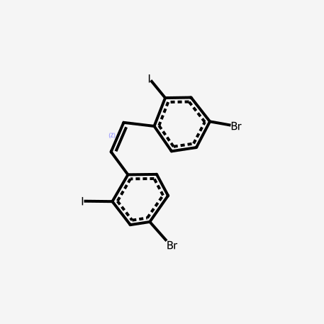 Brc1ccc(/C=C\c2ccc(Br)cc2I)c(I)c1